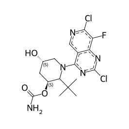 CC(C)(C)C1[C@@H](OC(N)=O)C[C@H](O)CN1c1nc(Cl)nc2c(F)c(Cl)ncc12